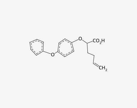 C=CCCC(Oc1ccc(Oc2ccccc2)cc1)C(=O)O